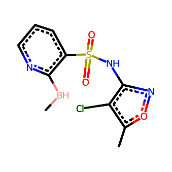 CBc1ncccc1S(=O)(=O)Nc1noc(C)c1Cl